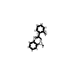 COc1ccccc1N=C(C)c1ccccc1F